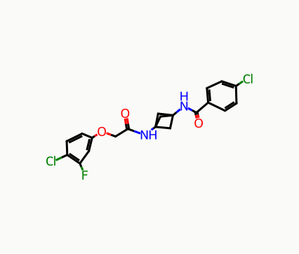 O=C(COc1ccc(Cl)c(F)c1)NC12CC(NC(=O)c3ccc(Cl)cc3)(C1)C2